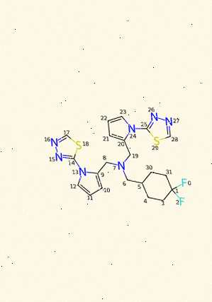 FC1(F)CCC(CN(Cc2cccn2-c2nncs2)Cc2cccn2-c2nncs2)CC1